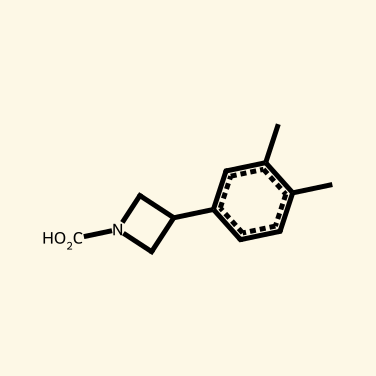 Cc1ccc(C2CN(C(=O)O)C2)cc1C